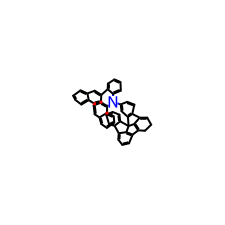 C1=C2C3=C(CC1)c1cccc4c1C3(c1cc(N(c3ccccc3-c3ccc5ccccc5c3)c3cccc5ccccc35)ccc12)c1ccccc1-4